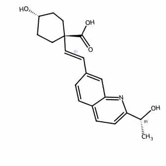 C[C@@H](O)c1ccc2ccc(/C=C/[C@]3(C(=O)O)CC[C@H](O)CC3)cc2n1